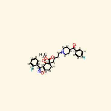 COC(=O)C1(CCCCN2CCC(C(=O)c3ccc(F)cc3)CC2)CCc2onc(-c3ccccc3F)c2C1=O